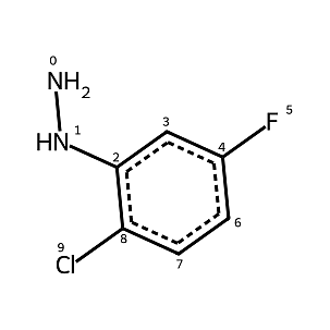 NNc1cc(F)ccc1Cl